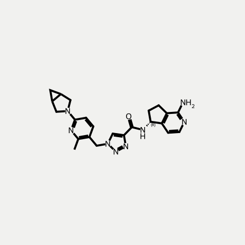 Cc1nc(N2CC3CC3C2)ccc1Cn1cc(C(=O)N[C@@H]2CCc3c2ccnc3N)nn1